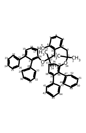 CC(C)(Cc1cccc(O)c1CC(C)(C)Oc1cccc(-c2ccccc2)c1-c1ccccc1)Oc1cccc(-c2ccccc2)c1-c1ccccc1